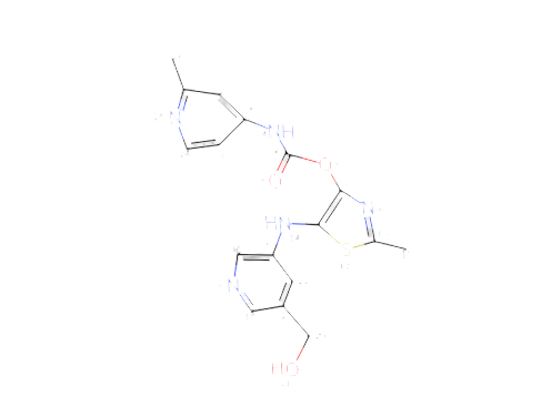 Cc1cc(NC(=O)Oc2nc(C)sc2Nc2cncc(CO)c2)ccn1